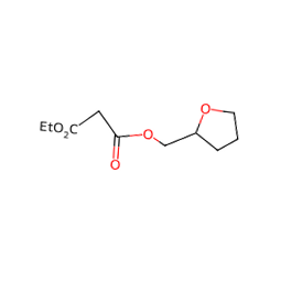 CCOC(=O)CC(=O)OCC1CCCO1